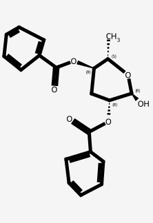 C[C@@H]1O[C@@H](O)[C@H](OC(=O)c2ccccc2)C[C@H]1OC(=O)c1ccccc1